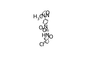 CN1CCON=C1c1ccc(N2C[C@H](CNC(=O)C3CC=C(Cl)S3)OC2=O)cc1